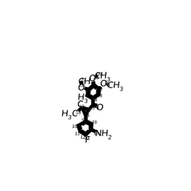 COc1cc(C(=O)C2C(c3ccc(F)c(N)c3)C2(C)C)cc(OC)c1OC